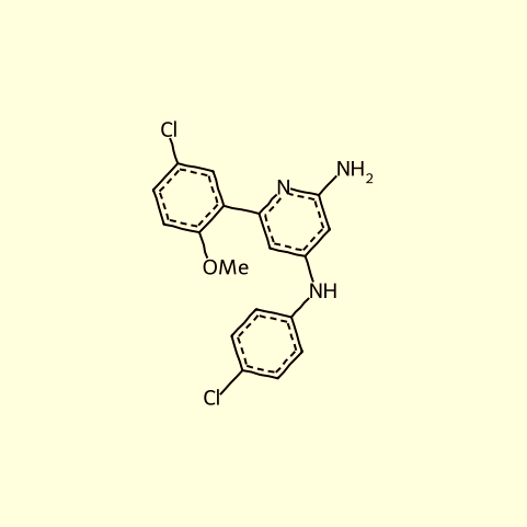 COc1ccc(Cl)cc1-c1cc(Nc2ccc(Cl)cc2)cc(N)n1